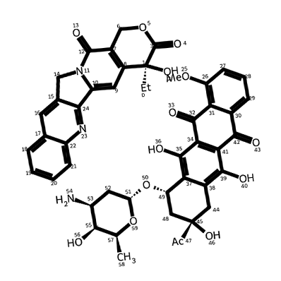 CC[C@@]1(O)C(=O)OCc2c1cc1n(c2=O)Cc2cc3ccccc3nc2-1.COc1cccc2c1C(=O)c1c(O)c3c(c(O)c1C2=O)C[C@@](O)(C(C)=O)C[C@@H]3O[C@H]1C[C@H](N)[C@H](O)[C@H](C)O1